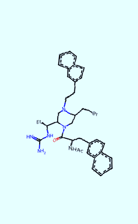 CC[C@H](NC(=N)N)C1CN(CCc2ccc3ccccc3c2)C(CC(C)C)CN1C(=O)C(Cc1ccc2ccccc2c1)NC(C)=O